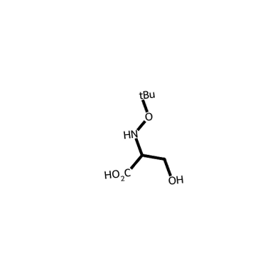 CC(C)(C)ONC(CO)C(=O)O